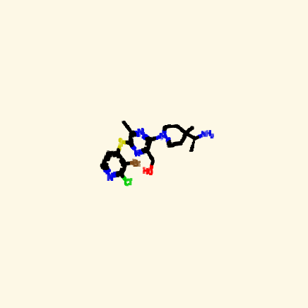 Cc1nc(N2CCC(C)([C@H](C)N)CC2)c(CO)nc1Sc1ccnc(Cl)c1Br